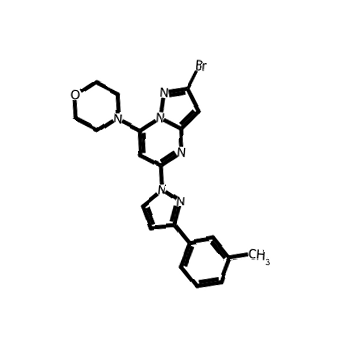 Cc1cccc(-c2ccn(-c3cc(N4CCOCC4)n4nc(Br)cc4n3)n2)c1